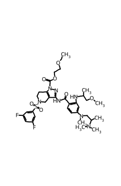 CCOCCOC(=O)n1nc(NC(=O)c2ccc(N(C)CC(C)N(C)C)cc2NC(C)COC)c2c1CCN(S(=O)(=O)c1cc(F)cc(F)c1)C2